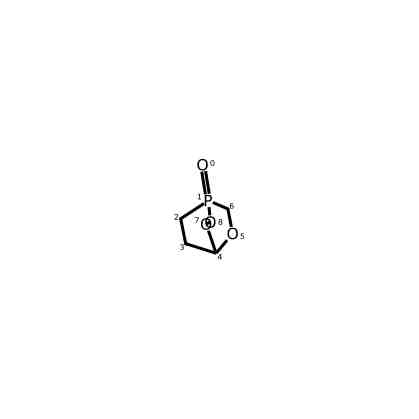 O=P12CCC(OC1)OO2